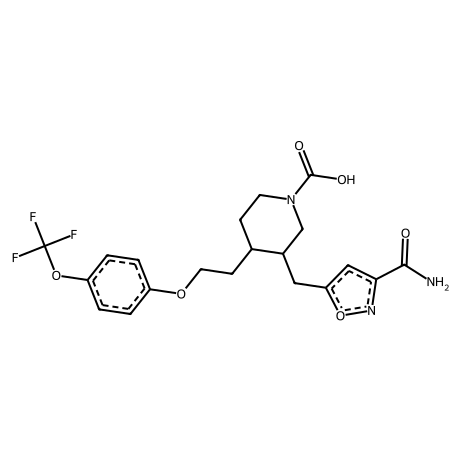 NC(=O)c1cc(CC2CN(C(=O)O)CCC2CCOc2ccc(OC(F)(F)F)cc2)on1